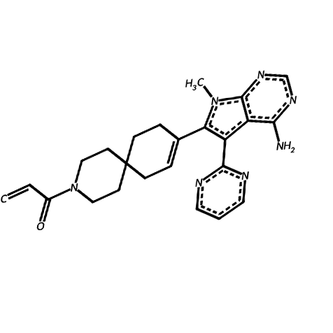 C=CC(=O)N1CCC2(CC=C(c3c(-c4ncccn4)c4c(N)ncnc4n3C)CC2)CC1